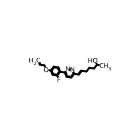 C=CCOc1ccc(-c2ccc(/C=C/CCCC(C)O)nn2)c(F)c1